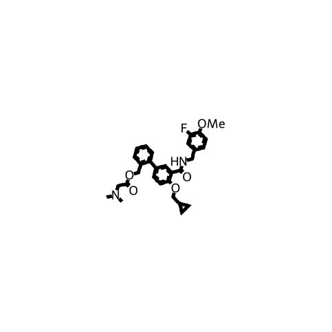 COc1ccc(CNC(=O)c2cc(-c3ccccc3COC(=O)CN(C)C)ccc2OCC2CC2)cc1F